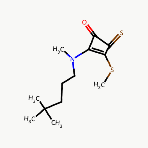 CSc1c(N(C)CCCC(C)(C)C)c(=O)c1=S